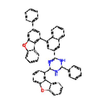 c1ccc(-c2cc(-c3cc(C4=NC(c5cccc6oc7ccccc7c56)NC(c5ccccc5)N4)cc4ccccc34)c3c(c2)oc2ccccc23)cc1